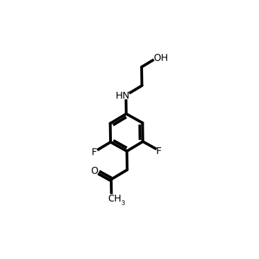 CC(=O)Cc1c(F)cc(NCCO)cc1F